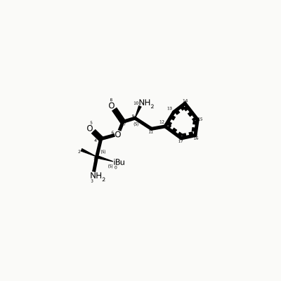 CC[C@H](C)[C@](C)(N)C(=O)OC(=O)[C@@H](N)Cc1ccccc1